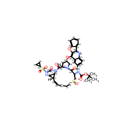 CC(C)(C)OC(=O)N[C@H]1C[S+]([O-])CCC/C=C\[C@@H]2C[C@@]2(C(=O)NS(=O)(=O)C2CC2)NC(=O)[C@@H]2C[C@@H](Oc3c4cc(F)ccc4nc4c3oc3ccccc34)CN2C1=O